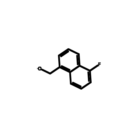 [O]Cc1cccc2c(F)cccc12